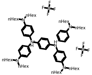 CCCCCCN(CCCCCC)c1ccc([NH+](c2ccc(N(CCCCCC)CCCCCC)cc2)c2ccc([NH+](c3ccc(N(CCCCCC)CCCCCC)cc3)c3ccc(N(CCCCCC)CCCCCC)cc3)cc2)cc1.F[B-](F)(F)F.F[B-](F)(F)F